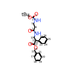 CC(C)(C)OC(=O)NCCC(=O)NCC(C(=O)OCc1ccccc1)c1ccccc1